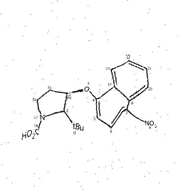 CC(C)(C)C1[C@H](Oc2ccc([N+](=O)[O-])c3ccccc23)CCN1C(=O)O